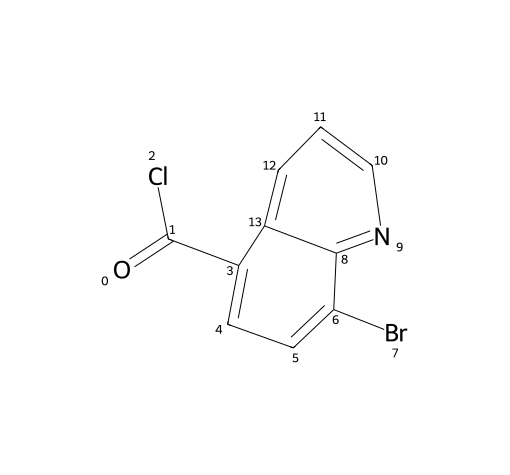 O=C(Cl)c1ccc(Br)c2ncccc12